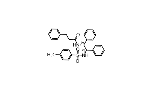 Cc1ccc(S(=O)(=O)N[C@H](c2ccccc2)[C@H](NC(=O)CCc2ccccc2)c2ccccc2)cc1